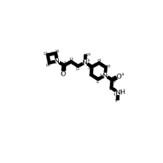 CNCC(=O)N1CCC(N(C)CCC(=O)N2CCC2)CC1